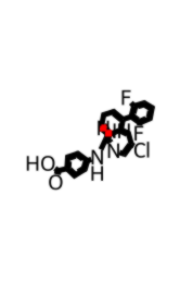 O=C(O)c1ccc(NC2=NC=C3CC=C(c4c(F)cccc4F)C4=CC(Cl)=CN=CC34N2)cc1